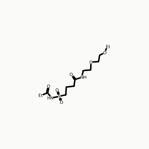 CCOCCOCCNC(=O)CCCS(=O)(=O)NC(=O)CC